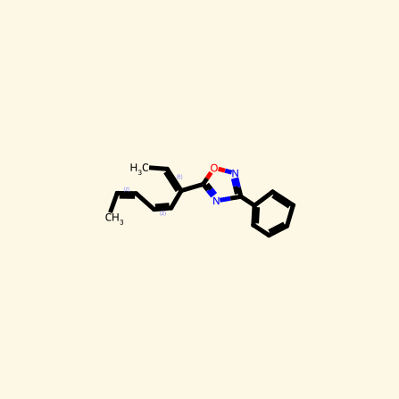 C\C=C/C=C\C(=C/C)c1nc(-c2ccccc2)no1